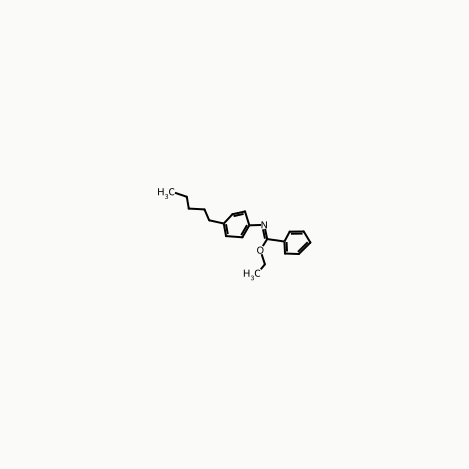 CCCCCc1ccc(N=C(OCC)c2ccccc2)cc1